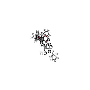 O=C(N[C@@H](CO)C(=O)OCc1ccccc1)c1nc2ccccc2n([C@H]2C[C@H]3CC[C@@H](C2)N3C2CCCCCCC2)c1=O